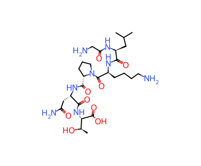 CC(C)C[C@H](NC(=O)CN)C(=O)N[C@@H](CCCCN)C(=O)N1CCC[C@H]1C(=O)N[C@@H](CC(N)=O)C(=O)N[C@H](C(=O)O)[C@@H](C)O